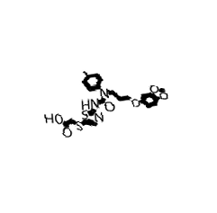 C[C@H]1CC[C@H](N(CCCOc2ccc3c(c2)OCO3)C(=O)Nc2ncc(SCC(=O)O)s2)CC1